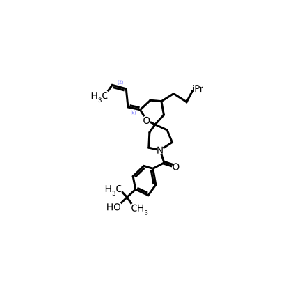 C/C=C\C=C1/CC(CCC(C)C)CC2(CCN(C(=O)c3ccc(C(C)(C)O)cc3)CC2)O1